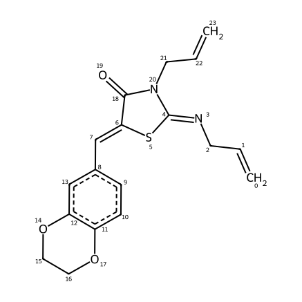 C=CC/N=C1\S/C(=C\c2ccc3c(c2)OCCO3)C(=O)N1CC=C